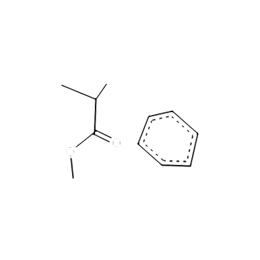 COC(=O)C(C)C.c1ccccc1